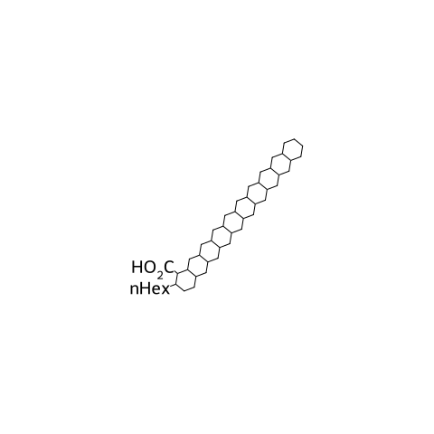 CCCCCCC1CCC2CC3CC4CC5CC6CC7CC8CC9CC%10CCCCC%10CC9CC8CC7CC6CC5CC4CC3CC2C1C(=O)O